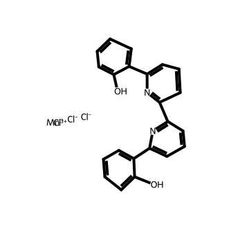 Oc1ccccc1-c1cccc(-c2cccc(-c3ccccc3O)n2)n1.[Cl-].[Cl-].[Cl-].[Mn+3]